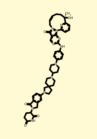 C[C@@]1(O)CC/C=C\Cn2c(=O)c3cnc(Nc4ccc(N5CCC(N6CCC7(CCN(c8ccc9c(c8)CN(C8CCC(=O)NC8=O)C9=O)C7)CC6)CC5)cc4)nc3n2-c2cccc1n2